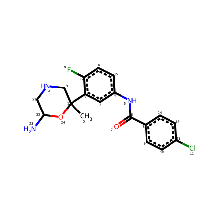 CC1(c2cc(NC(=O)c3ccc(Cl)cc3)ccc2F)CNCC(N)O1